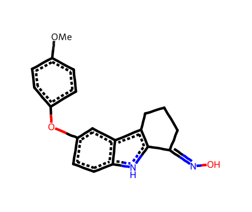 COc1ccc(Oc2ccc3[nH]c4c(c3c2)CCCC4=NO)cc1